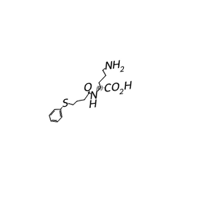 NCCC[C@@H](NC(=O)CCCSc1ccccc1)C(=O)O